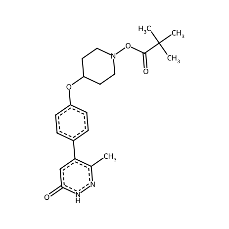 Cc1n[nH]c(=O)cc1-c1ccc(OC2CCN(OC(=O)C(C)(C)C)CC2)cc1